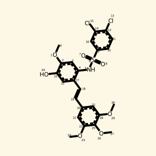 COc1cc(NS(=O)(=O)c2ccc(Cl)c(Cl)c2)c(C=Cc2cc(OC)c(OC)c(OC)c2)cc1O